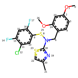 COc1ccc(CN(Sc2cc(Cl)c(F)cc2F)c2nc(C)cs2)c(OC)c1